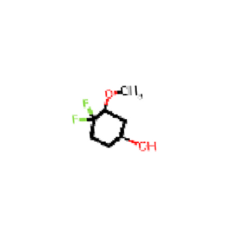 CO[C@H]1C[C@@H](O)CCC1(F)F